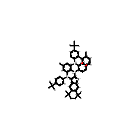 Cc1ccc2c(c1)N(c1ccc(C(C)(C)C)cc1-c1ccccc1C)c1cc(C)cc3c1B2c1sc2cc4c(cc2c1N3c1ccc(C(C)(C)C)cc1)C(C)(C)CCC4(C)C